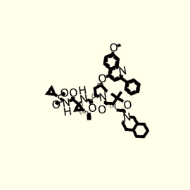 C=C[C@@H]1C[C@]1(NC(=O)[C@@H]1C[C@@H](Oc2cc(-c3ccccc3)nc3cc(OC)ccc23)CN1C(=O)[C@@H](CC(=O)N1CCC2CCCCC2C1)C(C)(C)C)C(=O)NS(=O)(=O)C1CC1